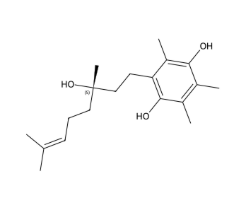 CC(C)=CCC[C@](C)(O)CCc1c(C)c(O)c(C)c(C)c1O